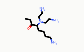 CCC(=O)C(CCCCN)N(CCN)CCN